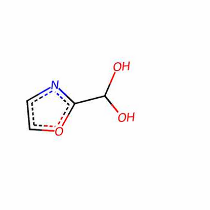 OC(O)c1ncco1